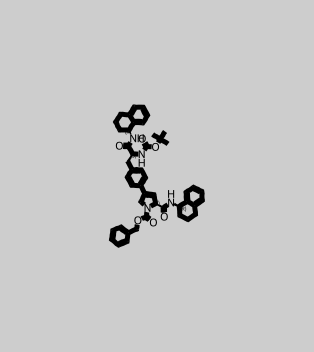 CC(C)(C)OC(=O)N[C@@H](Cc1ccc(C2=C[C@@H](C(=O)N[C@@H]3CCCc4ccccc43)N(C(=O)OCc3ccccc3)C2)cc1)C(=O)N[C@@H]1CCCc2ccccc21